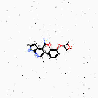 NC(=O)c1c(-c2cccc(OC3COC3)c2)cnc2[nH]c[c]c12